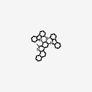 Cc1nc2c3ccccc3ccc2c2cc3c4c(c12)-n1c2ccccc2c2cccc(c21)B4c1cccc2c4ccccc4n-3c12